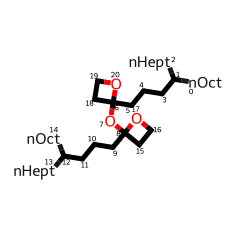 CCCCCCCCC(CCCCCCC)CCCC1(OC2(CCCC(CCCCCCC)CCCCCCCC)CCO2)CCO1